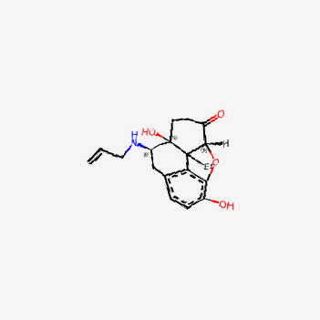 C=CCN[C@@H]1Cc2ccc(O)c3c2C2(CC)[C@@H](O3)C(=O)CC[C@@]12O